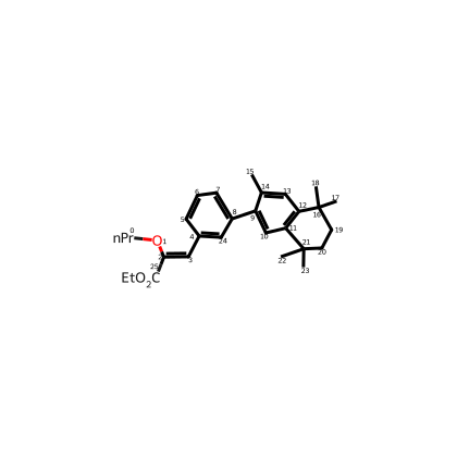 CCCOC(=Cc1cccc(-c2cc3c(cc2C)C(C)(C)CCC3(C)C)c1)C(=O)OCC